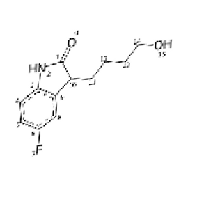 O=C1Nc2ccc(F)cc2C1CCCCO